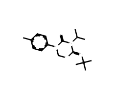 Cc1ccc(N2CSC(=NC(C)(C)C)N(C(C)C)C2=O)cc1